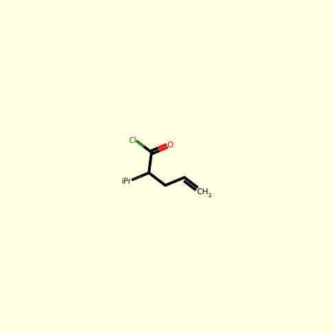 C=CCC(C(=O)Cl)C(C)C